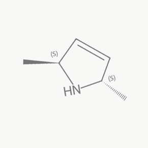 C[C@H]1C=C[C@H](C)N1